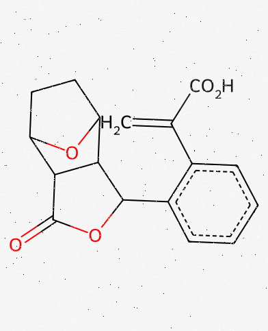 C=C(C(=O)O)c1ccccc1C1OC(=O)C2C3CCC(O3)C12